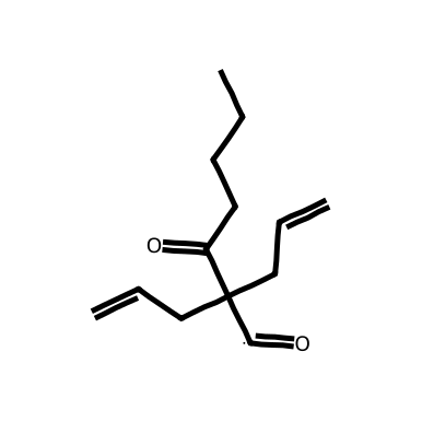 C=CCC([C]=O)(CC=C)C(=O)CCCC